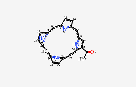 CC(C)C(=O)c1cc2cc3nc(cc4ccc(cc5nc(cc1[nH]2)C=C5)[nH]4)C=C3